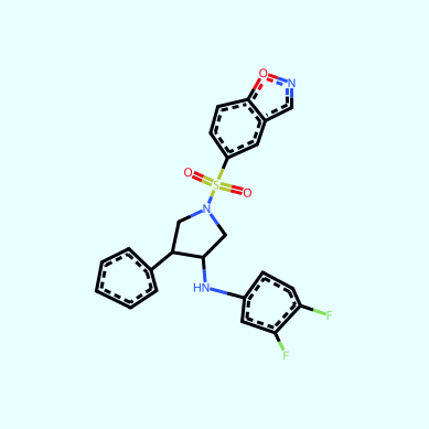 O=S(=O)(c1ccc2oncc2c1)N1CC(Nc2ccc(F)c(F)c2)C(c2ccccc2)C1